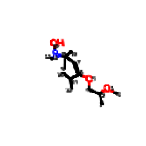 COC(C)CO/C(=C/C(C)(C)N(C)O)C(C)C